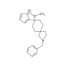 CN(C)C1(c2cccs2)CCC2(CCN(Cc3ccccc3)C2)CC1